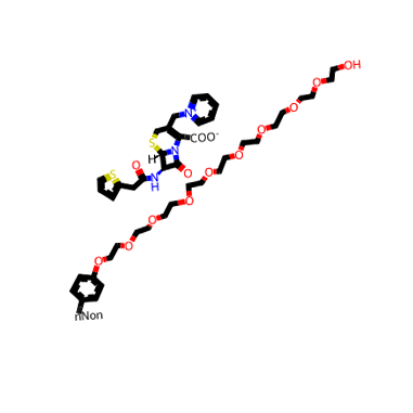 CCCCCCCCCc1ccc(OCCOCCOCCOCCOCCOCCOCCOCCOCCO)cc1.O=C(Cc1cccs1)N[C@@H]1C(=O)N2C(C(=O)[O-])=C(C[n+]3ccccc3)CS[C@H]12